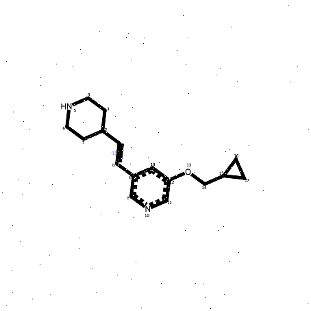 C(=C\C1CCNCC1)/c1cncc(OCC2CC2)c1